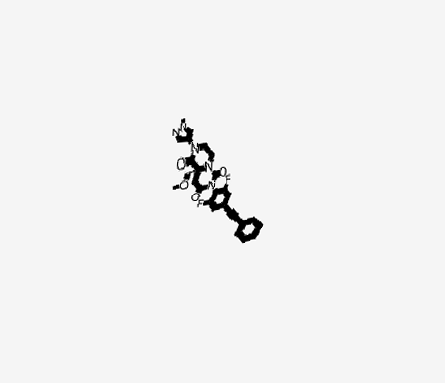 COC[C@@]12CC(=O)N(c3c(F)cc(C#Cc4ccccc4)cc3F)C(=O)N1CCN(c1cnn(C)c1)C2=O